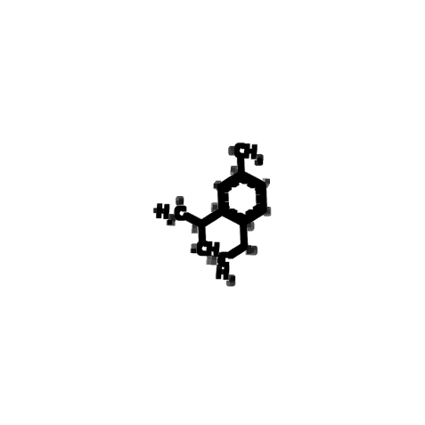 [CH2]C(C)c1cc(C)ccc1CC